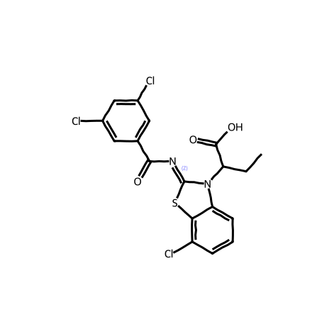 CCC(C(=O)O)n1/c(=N/C(=O)c2cc(Cl)cc(Cl)c2)sc2c(Cl)cccc21